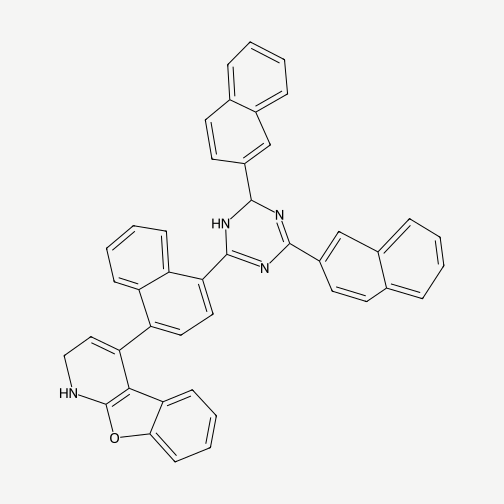 C1=C(c2ccc(C3=NC(c4ccc5ccccc5c4)=NC(c4ccc5ccccc5c4)N3)c3ccccc23)c2c(oc3ccccc23)NC1